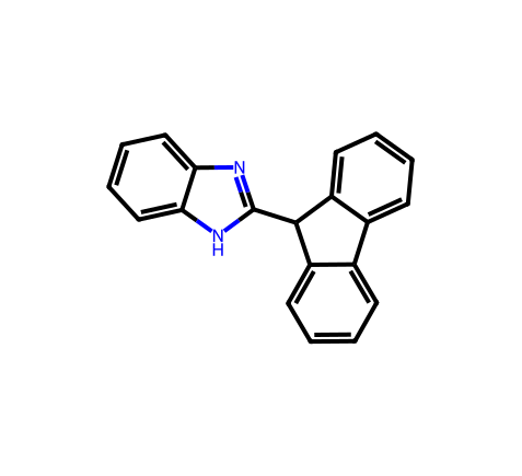 c1ccc2c(c1)-c1ccccc1C2c1nc2ccccc2[nH]1